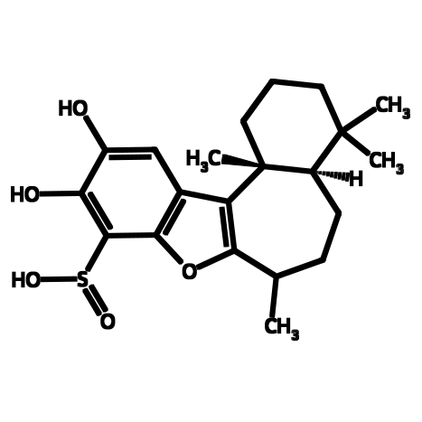 CC1CC[C@@H]2C(C)(C)CCC[C@@]2(C)c2c1oc1c(S(=O)O)c(O)c(O)cc21